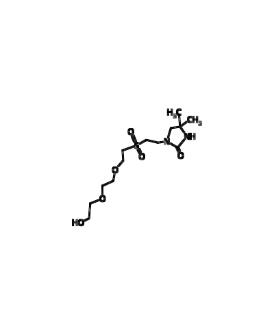 CC1(C)CN(CCS(=O)(=O)CCOCCOCCO)C(=O)N1